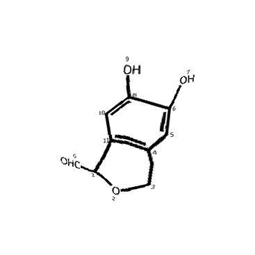 O=CC1OCc2cc(O)c(O)cc21